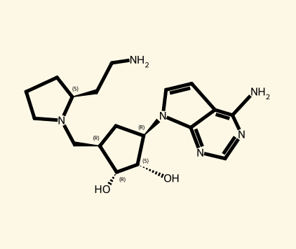 NCC[C@@H]1CCCN1C[C@H]1C[C@@H](n2ccc3c(N)ncnc32)[C@H](O)[C@@H]1O